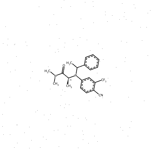 CC(c1ccccc1)N(c1ccc(C#N)c(C(F)(F)F)c1)[C@@H](C)C(=O)N(C)C